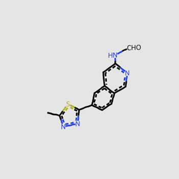 Cc1nnc(-c2ccc3cnc(NC=O)cc3c2)s1